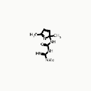 CNC(=N)NC(=O)NC1(C)C=CC(C)=N1